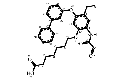 CCc1cc(NC(=O)C=O)c(OCCCCCCC(=O)O)cc1Oc1cccc(-c2ccccc2)c1